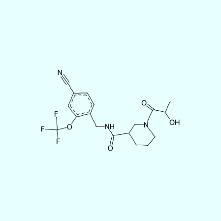 CC(O)C(=O)N1CCCC(C(=O)NCc2ccc(C#N)cc2OC(F)(F)F)C1